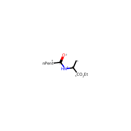 CCCCCC(=O)NC(C)C(=O)OCC